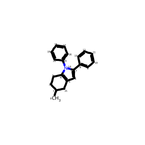 CC1CCc2c(cc(-c3ccccc3)n2-c2c[c]ccc2)C1